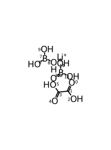 O=C(O)C(=O)O.OB(O)O.[Li+].[O-]B(O)O